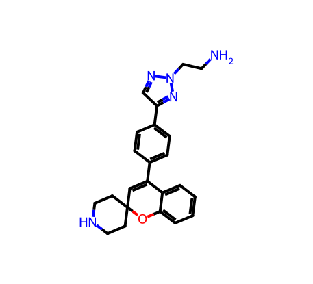 NCCn1ncc(-c2ccc(C3=CC4(CCNCC4)Oc4ccccc43)cc2)n1